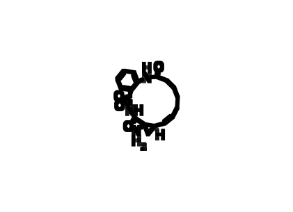 N[C@]12C[C@@H]1/C=C\CCCCC(=O)Nc1ccccc1S(=O)(=O)NC2=O